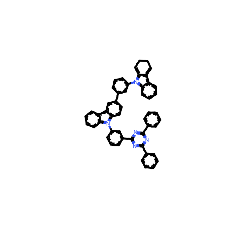 C1=c2c(n(-c3cccc(-c4ccc5c(c4)c4ccccc4n5-c4cccc(-c5nc(-c6ccccc6)nc(-c6ccccc6)n5)c4)c3)c3ccccc23)=CCC1